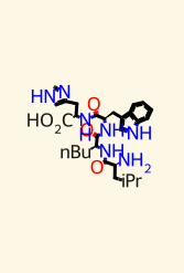 CCCC[C@H](NC(=O)[C@H](N)CC(C)C)C(=O)N[C@H](Cc1c[nH]c2ccccc12)C(=O)N[C@H](Cc1c[nH]cn1)C(=O)O